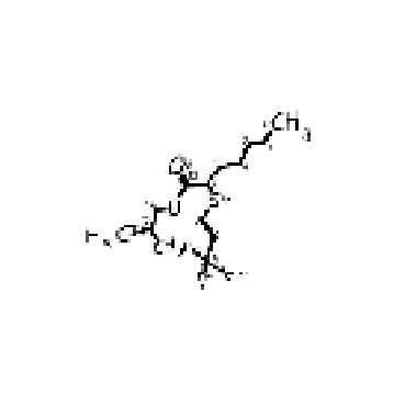 CCCCCC(SCCC(F)(F)F)C(=O)OCC(C)C